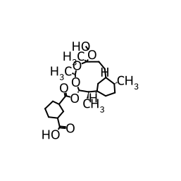 C[C@@H]1O[C@@H](OC(=O)C2CCCC(C(=O)O)C2)[C@H](C)[C@@H]2CC[C@@H](C)[C@H](CCC(C)(OO)O1)C2